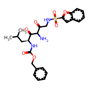 CC(C)C[C@H](NC(=O)OCc1ccccc1)C(=O)C(N)C(=O)CNS(=O)(=O)c1cc2ccccc2o1